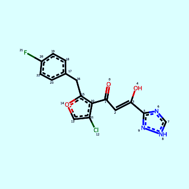 O=C(C=C(O)c1nc[nH]n1)c1c(Cl)coc1Cc1ccc(F)cc1